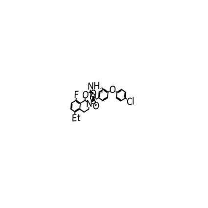 CCc1ccc(F)c2c1CCN(S(=O)(=O)c1ccc(Oc3ccc(Cl)cc3)cc1)C2OC(N)=O